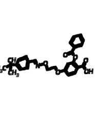 CC(C)(C)c1ccc(/C=N/OCCOc2ccc(C(=O)O)c(OC(=O)c3ccccc3)c2)cc1